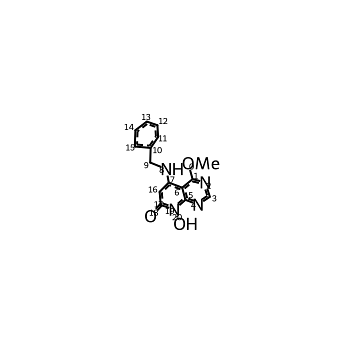 COc1ncnc2c1c(NCc1ccccc1)cc(=O)n2O